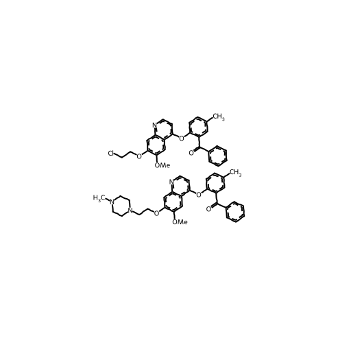 COc1cc2c(Oc3ccc(C)cc3C(=O)c3ccccc3)ccnc2cc1OCCCl.COc1cc2c(Oc3ccc(C)cc3C(=O)c3ccccc3)ccnc2cc1OCCN1CCN(C)CC1